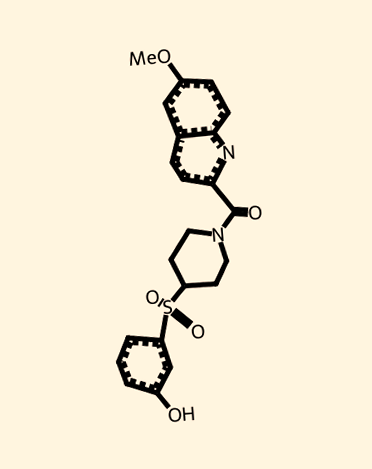 COc1ccc2nc(C(=O)N3CCC(S(=O)(=O)c4cccc(O)c4)CC3)ccc2c1